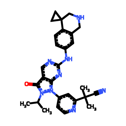 CC(C)n1c(=O)c2cnc(Nc3ccc4c(c3)CNCC43CC3)nc2n1-c1ccnc(C(C)(C)C#N)c1